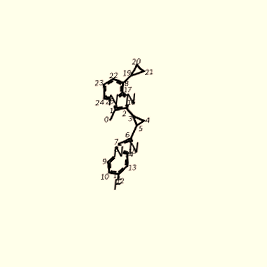 Cc1c(C2CC2c2cn3ccc(F)cc3n2)nc2c(C3CC3)cccn12